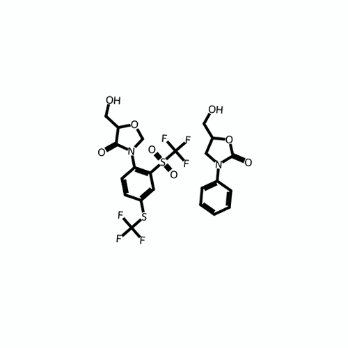 O=C1C(CO)OCN1c1ccc(SC(F)(F)F)cc1S(=O)(=O)C(F)(F)F.O=C1OC(CO)CN1c1ccccc1